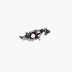 COc1ccc(C(=O)Nc2c(Cl)cncc2Cl)cc1OCCCN1C(=O)O[C@]2(C)[C@@H](I)OC(=O)[C@H](C)[C@@H](O[C@H]3C[C@@](C)(OC)C[C@H](C)O3)[C@H](C)C[C@](C)(OC)C[C@@H](C)C(=O)[C@H](C)[C@@H]12